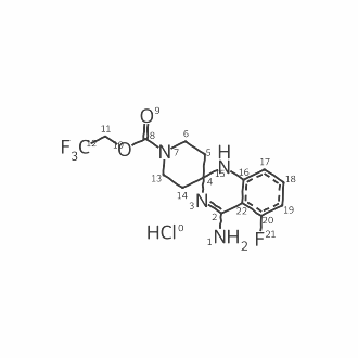 Cl.NC1=NC2(CCN(C(=O)OCC(F)(F)F)CC2)Nc2cccc(F)c21